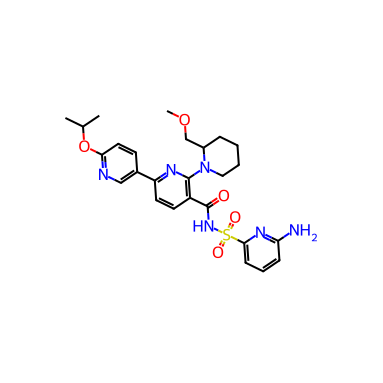 COCC1CCCCN1c1nc(-c2ccc(OC(C)C)nc2)ccc1C(=O)NS(=O)(=O)c1cccc(N)n1